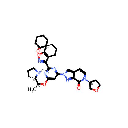 C[C@H](Oc1cc(-n2cc3ccn([C@H]4CCOC4)c(=O)c3n2)nc(-c2noc3c2CCC[C@@]32CCCCC2=O)n1)[C@@H]1CCCN1C